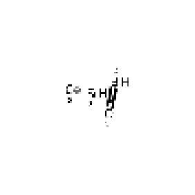 [Ce].[O]=[BiH].[SrH2]